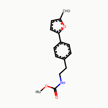 CC(C)(C)OC(=O)NCCc1ccc(-c2ccc(C=O)o2)cc1